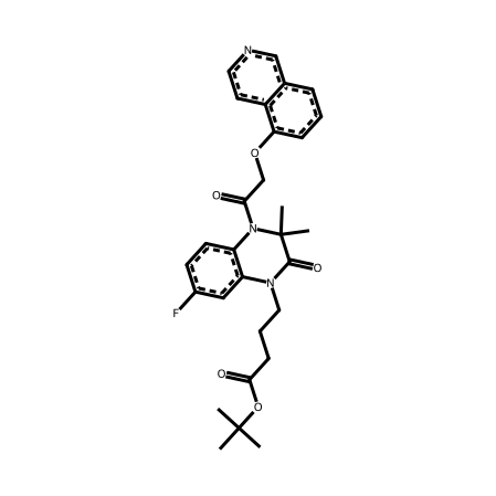 CC(C)(C)OC(=O)CCCN1C(=O)C(C)(C)N(C(=O)COc2cccc3cnccc23)c2ccc(F)cc21